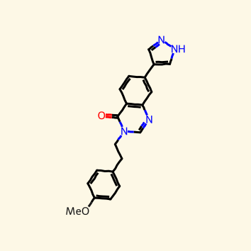 COc1ccc(CCn2cnc3cc(-c4cn[nH]c4)ccc3c2=O)cc1